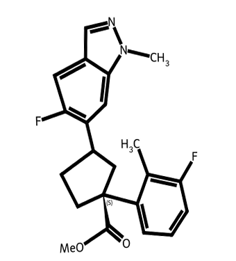 COC(=O)[C@@]1(c2cccc(F)c2C)CCC(c2cc3c(cnn3C)cc2F)C1